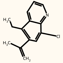 C=C(C)c1cc(Cl)c2ncccc2c1CC